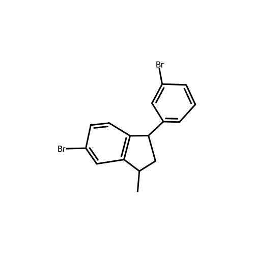 CC1CC(c2cccc(Br)c2)c2ccc(Br)cc21